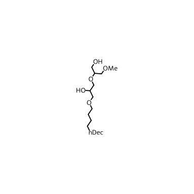 CCCCCCCCCCCCCCOCC(O)COC(CO)COC